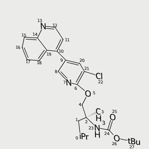 CC(C)C[C@@](C)(COc1ncc(-c2ccnc3ccccc23)cc1Cl)NC(=O)OC(C)(C)C